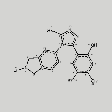 CCN1Cc2ccc(-n3c(S)nnc3-c3cc(C(C)C)c(O)cc3O)cc2C1